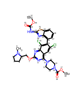 CN1CCCC1COc1nc(N2CCN(C(=O)OC(C)(C)C)CC2)c2cc(Cl)c(-c3cccc4sc(NC(=O)OC(C)(C)C)nc34)c(F)c2n1